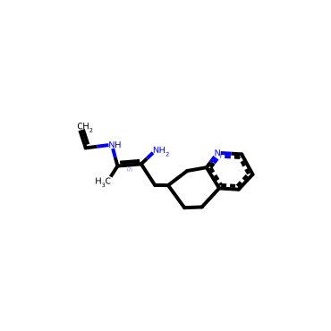 C=CN/C(C)=C(\N)CC1CCc2cccnc2C1